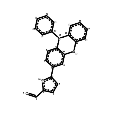 O=Cc1ccc(-c2ccc3c(c2)Sc2ccccc2N3c2ccccc2)s1